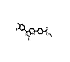 CCOC(=O)c1ccc(-c2ccc3c(-c4ccc(C)c(F)c4)n[nH]c3n2)cc1